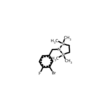 C[Si]1(C)CC[Si](C)(C)N1Cc1ccc(F)c(Br)c1